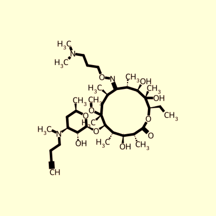 C#CCCN(C)[C@H]1C[C@@H](C)O[C@@H](O[C@@H]2[C@@H](C)[C@H](O)[C@@H](C)C(=O)O[C@H](CC)[C@@](C)(O)[C@H](O)[C@@H](C)/C(=N/OCCCN(C)C)[C@H](C)C[C@@]2(C)OC)[C@@H]1O